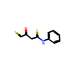 O=C(C=S)CC(=S)Nc1ccccc1